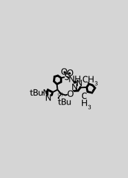 Cc1cccc(C)c1-c1cc2nc(n1)NS(=O)(=O)c1cccc(c1)C(c1cnn(C(C)(C)C)c1)[C@H](CC(C)(C)C)CO2